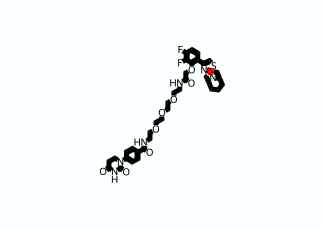 O=C(COc1c(-c2csc(N3C4CCCC3COC4)n2)ccc(F)c1F)NCCOCCOCCOCCNC(=O)c1ccc(N2CCC(=O)NC2=O)cc1